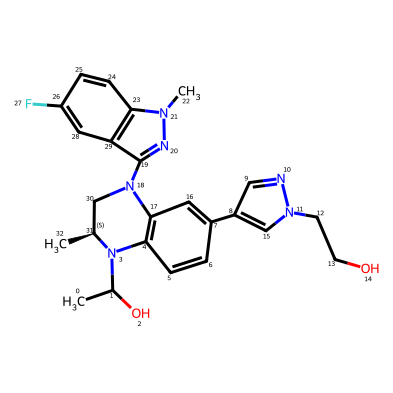 CC(O)N1c2ccc(-c3cnn(CCO)c3)cc2N(c2nn(C)c3ccc(F)cc23)C[C@@H]1C